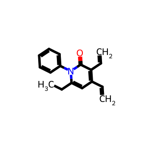 C=Cc1cc(CC)n(-c2ccccc2)c(=O)c1C=C